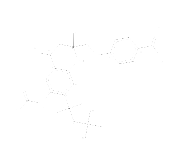 CC(=O)Oc1cc2c(cc1C(C)(C)CC(C)(C)C)OC(C)(COc1ccc([N+](=O)[O-])cc1)CC2O